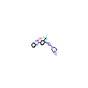 ON/C(=N\c1ccccc1)c1ccc(NCCN2CCNCC2)c(C(F)(F)F)c1